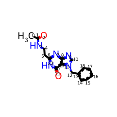 CC(=O)NCCc1nc2ncn(Cc3ccccc3)c2c(=O)[nH]1